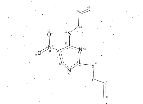 C=CCSc1ncc([N+](=O)[O-])c(SCC=C)n1